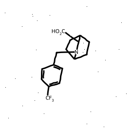 O=C(O)C1C2CCC(CC2)N1Cc1ccc(C(F)(F)F)cc1